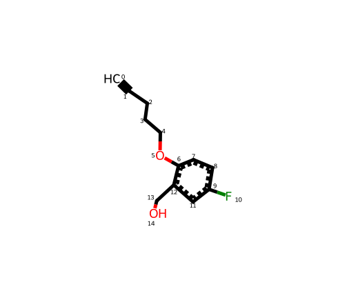 C#CCCCOc1ccc(F)cc1CO